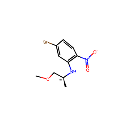 COC[C@H](C)Nc1cc(Br)ccc1[N+](=O)[O-]